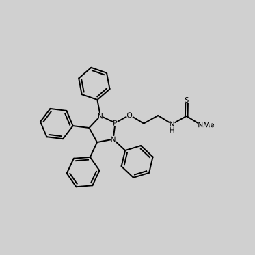 CNC(=S)NCCOP1N(c2ccccc2)C(c2ccccc2)C(c2ccccc2)N1c1ccccc1